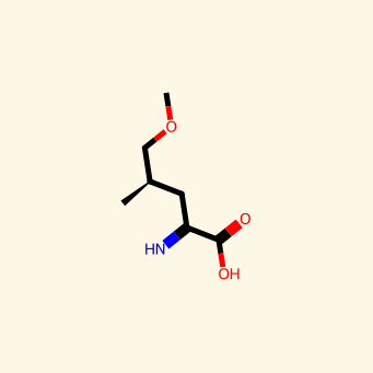 COC[C@H](C)CC(=N)C(=O)O